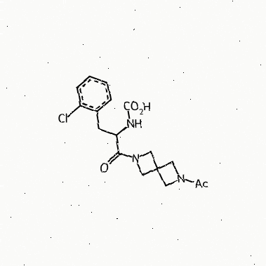 CC(=O)N1CC2(C1)CN(C(=O)C(Cc1ccccc1Cl)NC(=O)O)C2